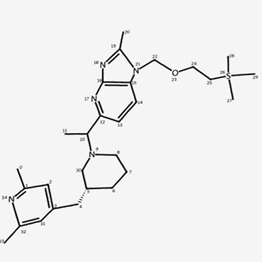 Cc1cc(C[C@H]2CCCN(C(C)c3ccc4c(n3)nc(C)n4COCCS(C)(C)C)C2)cc(C)n1